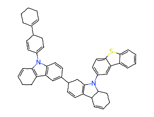 C1=Cc2c(c3cc(C4C=CC5=C(C4)N(c4ccc6sc7ccccc7c6c4)C4CCC=CC54)ccc3n2C2=CCC(C3=CCCCC3)C=C2)CC1